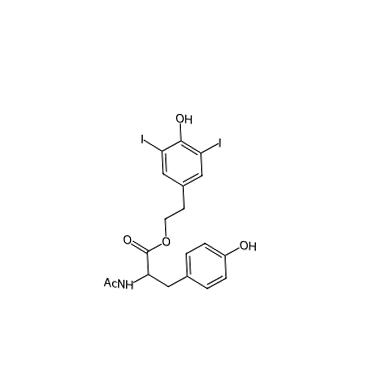 CC(=O)NC(Cc1ccc(O)cc1)C(=O)OCCc1cc(I)c(O)c(I)c1